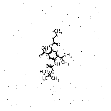 CCCC(=O)Oc1cc(C(C)C)c(NC(=O)OC(C)(C)C)cc1C(=O)O